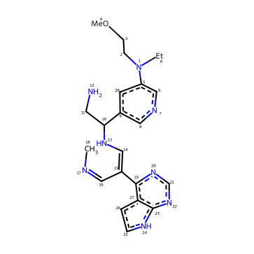 CCN(CCOC)c1cncc(C(CN)N/C=C(\C=N/C)c2ncnc3[nH]ccc23)c1